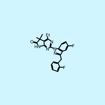 CCc1nc(-n2nc(Cc3ccccc3F)c3cc(F)ccc32)nc2c1C(C)(C)C(=O)N2